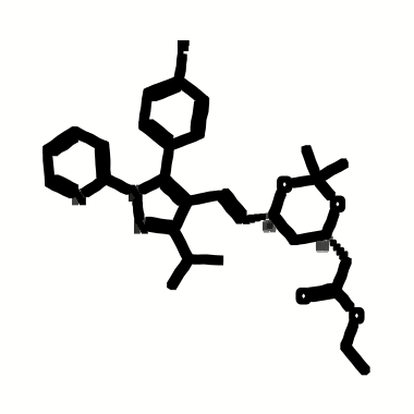 CCOC(=O)C[C@@H]1C[C@H](C=Cc2c(C(C)C)nn(-c3ccccn3)c2-c2ccc(F)cc2)OC(C)(C)O1